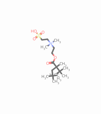 CC(C)(C)CC(C)(C(=O)OCC[N+](C)(C)CCS(=O)(=O)O)C(C)(C)C